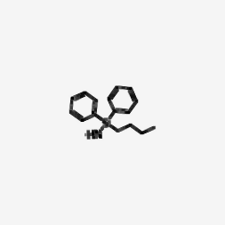 CCCC[Si]([NH])(c1ccccc1)c1ccccc1